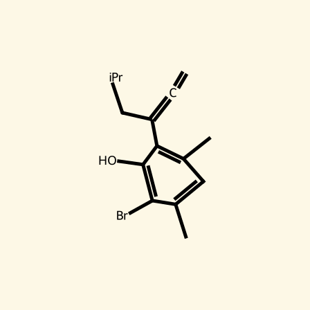 C=C=C(CC(C)C)c1c(C)cc(C)c(Br)c1O